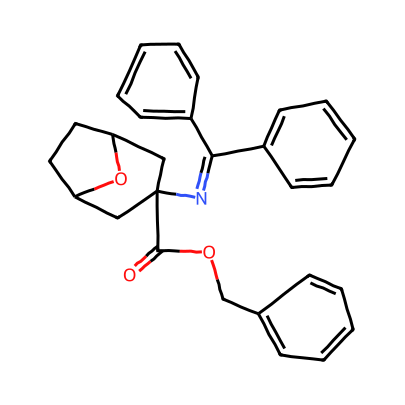 O=C(OCc1ccccc1)C1(N=C(c2ccccc2)c2ccccc2)CC2CCC(C1)O2